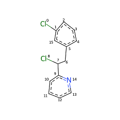 Clc1cccc(CC(Cl)c2ccccn2)c1